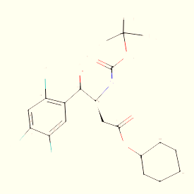 CC(C)(C)OC(=O)N[C@@H](CC(=O)OC1CCCCC1)C(O)c1cc(F)c(F)cc1F